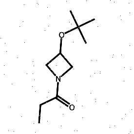 CCC(=O)N1CC(OC(C)(C)C)C1